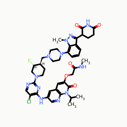 CNC(=O)COc1cc2cc(Nc3nc(N4CC[C@H](CN5CCN(c6cccc7c(C8CCC(=O)NC8=O)nn(C)c67)CC5)[C@@H](F)C4)ncc3Cl)cnc2n(C(C)C)c1=O